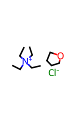 C1CCOC1.CC[N+](CC)(CC)CC.[Cl-]